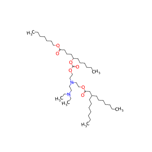 CCCCCCCOC(=O)CCCC(CCCCCC)OC(=O)OCCN(CCOC(=O)CC(CCCCCCC)CCCCCCC)CCN(CC)CC